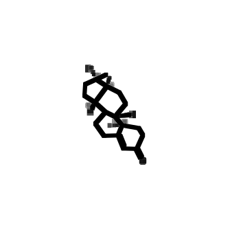 CC[C@@]1(C)CC[C@H]2C3CCC4=CC(=O)CC[C@]4(C)[C@H]3CC[C@@]21C